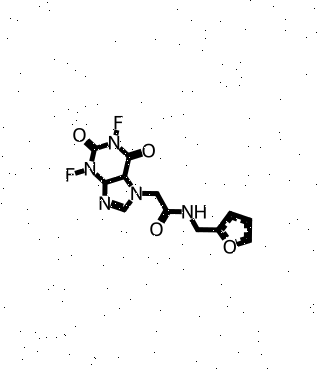 O=C(CN1C=NC2C1C(=O)N(F)C(=O)N2F)NCc1ccco1